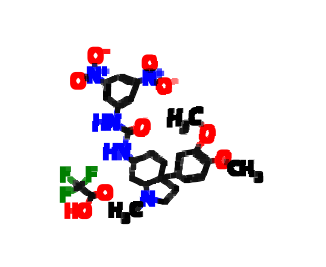 COc1ccc(C23CCC(NC(=O)Nc4cc([N+](=O)[O-])cc([N+](=O)[O-])c4)CC2N(C)CC3)cc1OC.O=C(O)C(F)(F)F